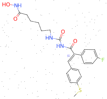 CSc1ccc(/C=C(/C(=O)NC(=O)NCCCCCC(=O)NO)c2ccc(F)cc2)cc1